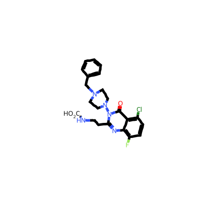 O=C(O)NCCc1nc2c(F)ccc(Cl)c2c(=O)n1N1CCN(Cc2ccccc2)CC1